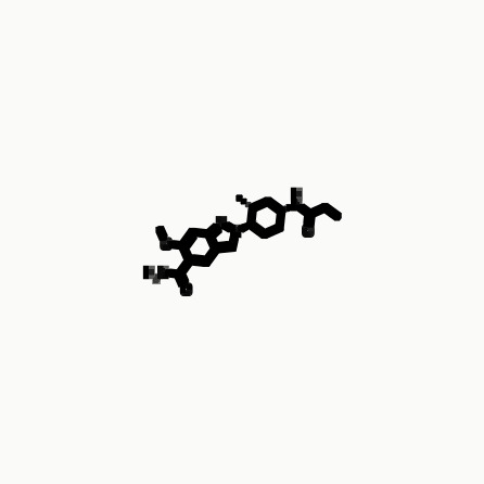 CCC(=O)N[C@@H]1CC[C@@H](n2cc3cc(C(N)=O)c(OC)cc3n2)[C@H](C)C1